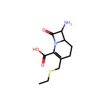 CCSCC1=C(C(=O)O)N2C(=O)C(N)C2CC1